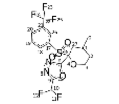 CC1CCOC(c2nnc(C(F)F)o2)(S(=O)(=O)c2cccc(C(F)(F)F)c2)C1